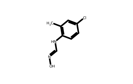 Cc1cc(Cl)ccc1NC=NO